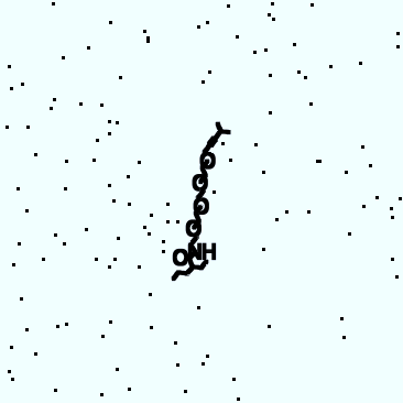 CCCC(CC)C(=O)NCCOCCOCCOCCOCC#CC(C)C